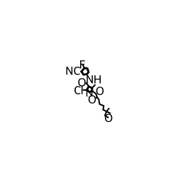 Cc1c(C(=O)Nc2ccc(F)c(C#N)c2)c(Cl)n(C)c1C(=O)C(=O)CCCCC1(C)COC1